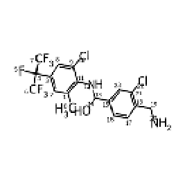 Cc1cc(C(F)(C(F)(F)F)C(F)(F)F)cc(Cl)c1NC(O)c1ccc(CN)c(Cl)c1